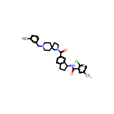 N#Cc1cccc(CN2CCC3(CC2)CCN(C(=O)c2ccc4c(c2)C(NC(=O)c2cc(C(F)(F)F)ccc2Cl)CC4)C3)c1